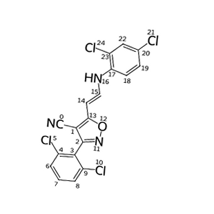 N#Cc1c(-c2c(Cl)cccc2Cl)noc1C=CNc1ccc(Cl)cc1Cl